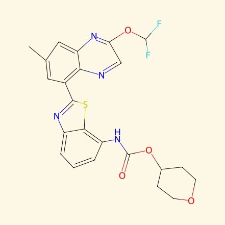 Cc1cc(-c2nc3cccc(NC(=O)OC4CCOCC4)c3s2)c2ncc(OC(F)F)nc2c1